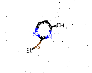 CCSc1nccc(C)n1